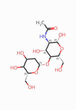 CC(=O)N[C@H]1[C@H](O)O[C@H](CO)C(O[C@H]2CC(O)C(O)[C@@H](CO)O2)[C@@H]1O